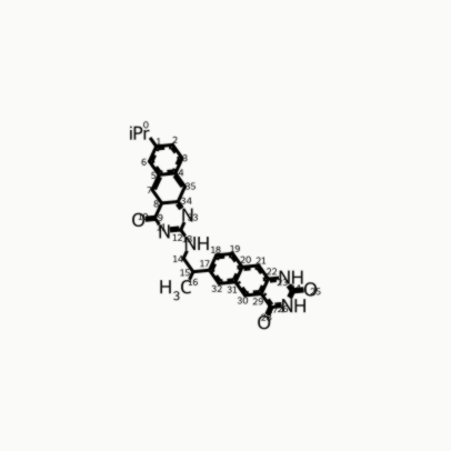 CC(C)c1ccc2c(c1)=CC1C(=O)N=C(NCC(C)c3ccc4cc5[nH]c(=O)[nH]c(=O)c5cc4c3)N=C1C=2